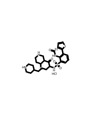 CCC(=O)Nc1c(-c2cccs2)cccc1S(=O)(=O)NC(CCCC1CCNCC1)C(=O)C1CNCCC1CC.Cl